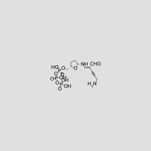 NCC#C/C(C=O)=C/N[C@H]1CC[C@@H](COP(=O)(O)OP(=O)(O)OP(=O)(O)O)O1